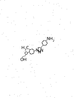 Cc1cc(-n2cc(-c3ccc(N)cc3)nn2)ccc1OCCO